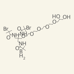 BC(C)(C)C(=O)NCC(CNC(=O)C(C)(C)Br)(CNC(=O)C(C)(C)Br)COCCOCCOCCOCCOCC(O)CO